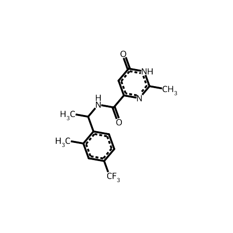 Cc1nc(C(=O)NC(C)c2ccc(C(F)(F)F)cc2C)cc(=O)[nH]1